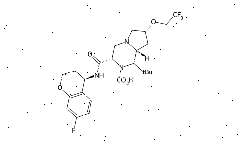 CC(C)(C)C1[C@H]2C[C@@H](OCC(F)(F)F)CN2C[C@@H](C(=O)N[C@@H]2CCOc3cc(F)ccc32)N1C(=O)O